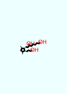 C[C@@H]1C[C@H](C)[C@H](CCCO)[C@H]1CCC(O)CCCCCO